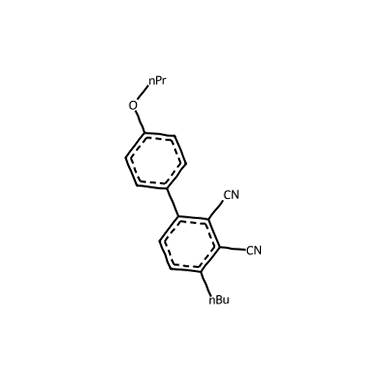 CCCCc1ccc(-c2ccc(OCCC)cc2)c(C#N)c1C#N